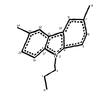 CCCn1c2ccc(C)cc2c2cc(C)ccc21